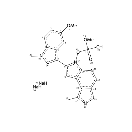 COc1ccc2c(c1)c(-c1cc3c(ncc4cnc(C)n43)n1OP(=O)(O)OC)cn2C.[NaH].[NaH]